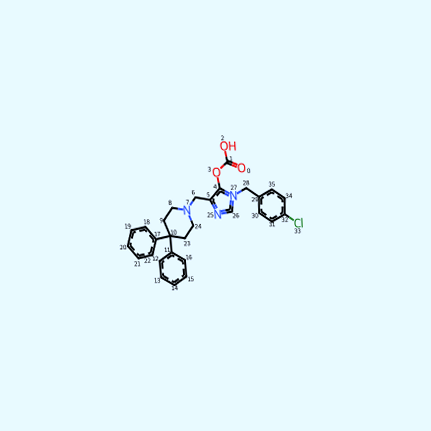 O=C(O)Oc1c(CN2CCC(c3ccccc3)(c3ccccc3)CC2)ncn1Cc1ccc(Cl)cc1